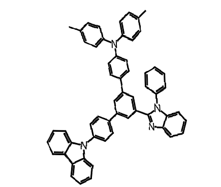 Cc1ccc(N(c2ccc(C)cc2)c2ccc(-c3cc(-c4ccc(-n5c6ccccc6c6ccccc65)cc4)cc(-c4nc5ccccc5n4-c4ccccc4)c3)cc2)cc1